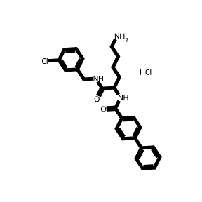 Cl.NCCCCC(NC(=O)c1ccc(-c2ccccc2)cc1)C(=O)NCc1cccc(Cl)c1